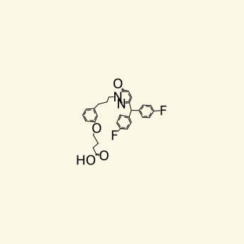 O=C(O)CCCOc1cccc(CCCn2nc(C(c3ccc(F)cc3)c3ccc(F)cc3)ccc2=O)c1